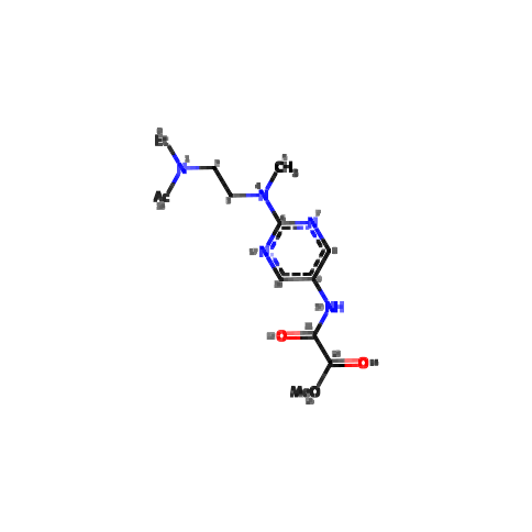 CCN(CCN(C)c1ncc(NC(=O)C(=O)OC)cn1)C(C)=O